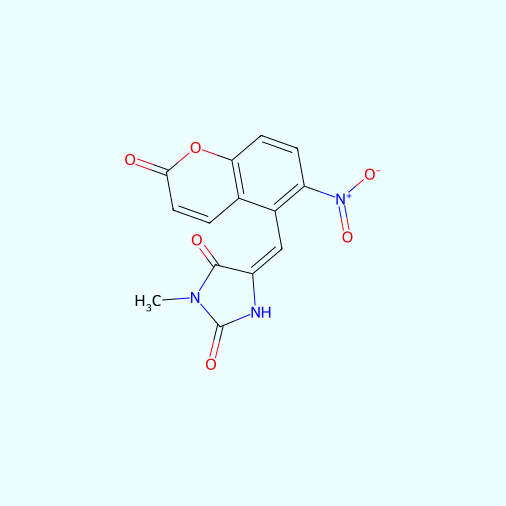 CN1C(=O)N/C(=C/c2c([N+](=O)[O-])ccc3oc(=O)ccc23)C1=O